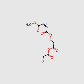 COC(=O)/C=C\C(=O)OCCC(=O)OC(=O)CBr